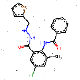 Cc1cc(Cl)cc(C(=O)NNCc2cccs2)c1NC(=O)c1ccccc1